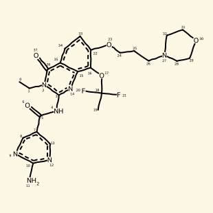 CCn1c(NC(=O)c2cnc(N)nc2)nc2c(OC(C)(F)F)c(OCCCN3CCOCC3)ccc2c1=O